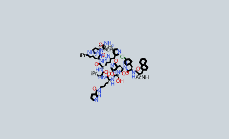 CC(=O)N[C@H](Cc1ccc2ccccc2c1)C(=O)N[C@H](Cc1ccc(Cl)cc1)C(=O)N[C@H](Cc1cccnc1)C(=O)N[C@@H](CO)C(=O)N[C@H](CCCCNC(=O)c1cccnc1)C(=O)N[C@@H](CC(C)C)C(=O)N[C@@H](CCCC(N)C(=O)c1cccnc1)C(=O)N[C@@H](CCCC(N)C(C)C)C(=O)N1CCC[C@]1(N[C@H](C)C(N)=O)C(=O)O